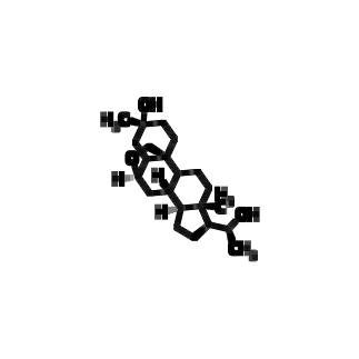 C[C@H](O)[C@H]1CC[C@H]2[C@@H]3C[C@H]4OC[C@@]5(CC[C@@](C)(O)CC45)C3CC[C@]12C